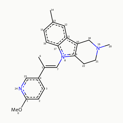 COc1ccc(C(C)=Cn2c3c(c4cc(C)ccc42)CN(C)CC3)cn1